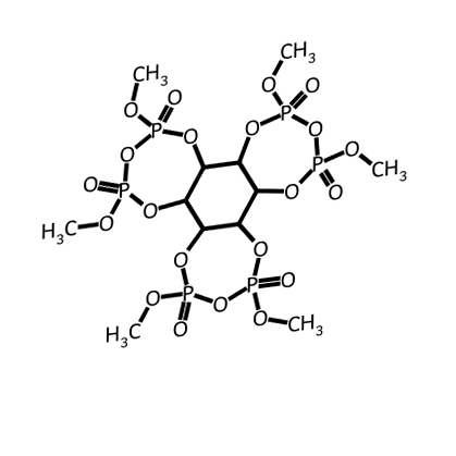 COP1(=O)OC2C3OP(=O)(OC)OP(=O)(OC)OC3C3OP(=O)(OC)OP(=O)(OC)OC3C2OP(=O)(OC)O1